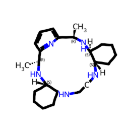 C[C@H]1N[C@H]2CCCCC2NCCN[C@H]2CCCC[C@@H]2N[C@H](C)c2cccc1n2